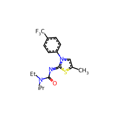 CCN(C(=O)/N=c1\sc(C)cn1-c1ccc(C(F)(F)F)cc1)C(C)C